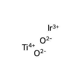 [Ir+3].[O-2].[O-2].[Ti+4]